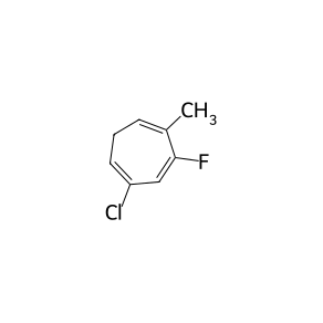 CC1=CCC=C(Cl)C=C1F